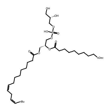 CCCC/C=C\C/C=C\CCCCCCCC(=O)OC[C@H](COP(=O)(O)OC[C@@H](O)CO)OC(=O)CCCCCCCCCCCCCCCCCC